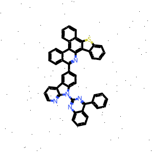 c1ccc(-c2nc(-n3c4ccc(-c5nc6c(c7ccccc57)c5ccccc5c5sc7ccccc7c65)cc4c4cccnc43)nc3ccccc23)cc1